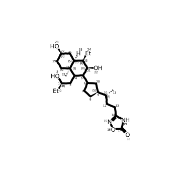 CC[C@@H](O)CC1C(C2CC[C@H]([C@H](C)CCc3noc(=O)[nH]3)C2)[C@H](O)[C@H](CC)[C@@H]2C[C@H](O)CC[C@]12C